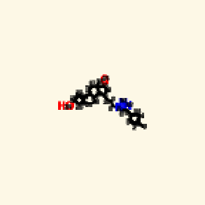 Cc1ccc(-c2cn(CCCC3CC(=O)C4(C)CCC5c6ccc(O)cc6CCC5C34)nn2)cc1